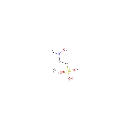 CN([O-])CCS(=O)(=O)O.[Na+]